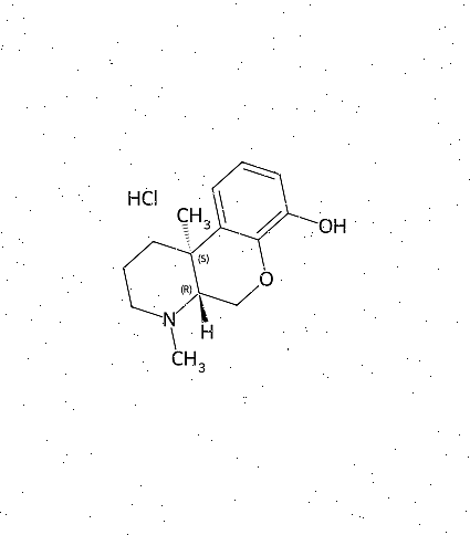 CN1CCC[C@@]2(C)c3cccc(O)c3OC[C@H]12.Cl